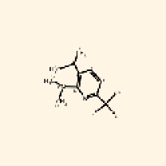 CC(C)c1ccc(C(F)(F)F)nc1N(C)C